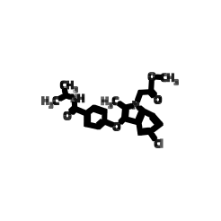 COC(=O)Cn1c(C)c(Oc2ccc(C(=O)NC(C)C)cc2)c2cc(Cl)ccc21